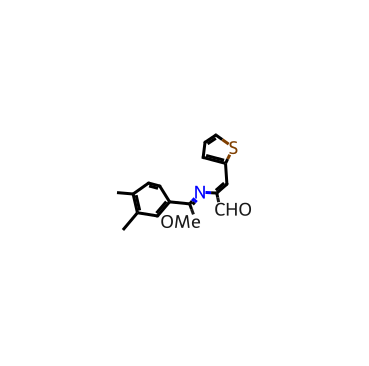 CO/C(=N\C(C=O)=C/c1cccs1)c1ccc(C)c(C)c1